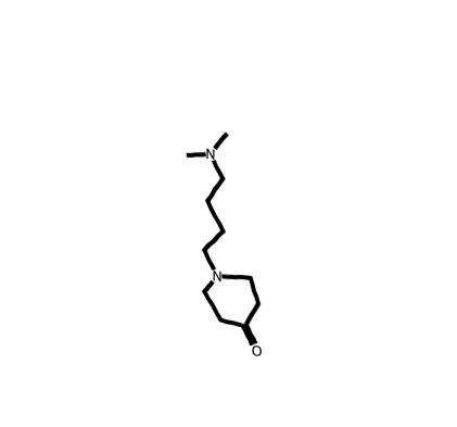 CN(C)CCCCN1CCC(=O)CC1